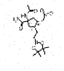 CC(=O)N[C@]1(C(N)=O)C[C@H](CCB2OC(C)(C)C(C)(C)O2)[C@@H](C[N+](=O)[O-])C1